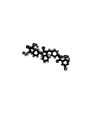 Cc1ncc(Cl)cc1C(=O)NC1CCC(Cn2c(=O)n(-c3ccc4c(c3)n(C)c(=O)n4C)c3ccccc32)CC1